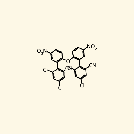 N#Cc1cc(Cl)cc(Cl)c1-c1cc([N+](=O)[O-])ccc1Oc1ccc([N+](=O)[O-])cc1-c1c(Cl)cc(Cl)cc1C#N